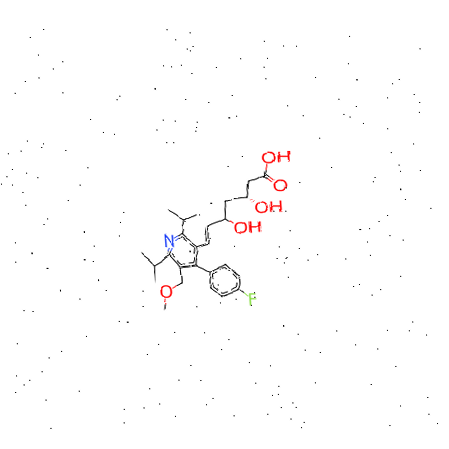 COCc1c(C(C)C)nc(C(C)C)c(C=CC(O)C[C@@H](O)CC(=O)O)c1-c1ccc(F)cc1